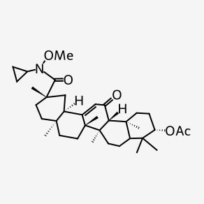 CON(C(=O)[C@@]1(C)CC[C@]2(C)CC[C@]3(C)C(=CC(=O)[C@@H]4[C@@]5(C)CC[C@H](OC(C)=O)C(C)(C)C5CC[C@]43C)[C@@H]2C1)C1CC1